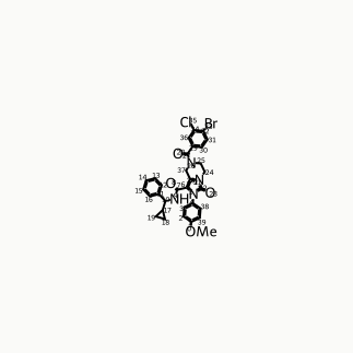 COc1ccc(-n2c(C(=O)N[C@H](c3ccccc3)C3CC3)c3n(c2=O)CCN(C(=O)c2ccc(Br)c(Cl)c2)C3)cc1